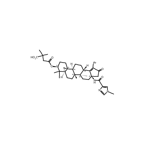 CC(C)C1=C2[C@H]3CC[C@@H]4[C@@]5(C)CC[C@H](OC(=O)CC(C)(C)C(=O)O)C(C)(C)[C@@H]5CC[C@@]4(C)[C@]3(C)CC[C@@]2(NC(=O)c2cn(C)cn2)CC1=O